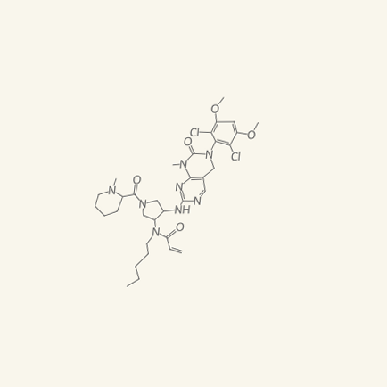 C=CC(=O)N(CCCCC)C1CN(C(=O)C2CCCCN2C)CC1Nc1ncc2c(n1)N(C)C(=O)N(c1c(Cl)c(OC)cc(OC)c1Cl)C2